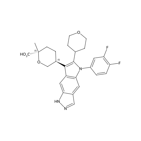 C[C@@]1(C(=O)O)CC[C@@H](c2c(C3CCOCC3)n(-c3ccc(F)c(F)c3)c3cc4cn[nH]c4cc23)CO1